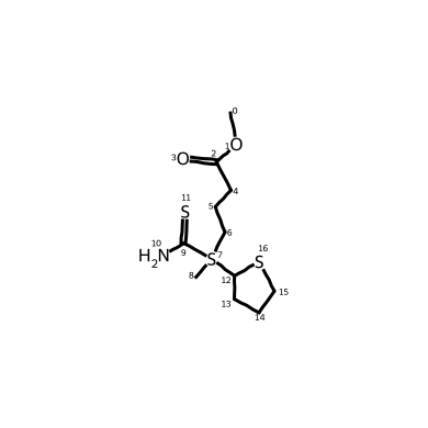 COC(=O)CCCS(C)(C(N)=S)C1CCCS1